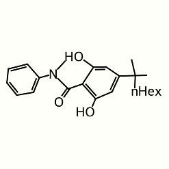 CCCCCCC(C)(C)c1cc(O)c(C(=O)N(C)c2ccccc2)c(O)c1